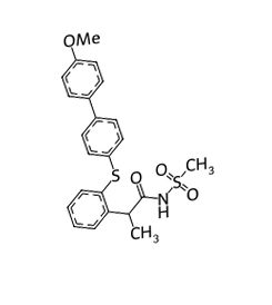 COc1ccc(-c2ccc(Sc3ccccc3C(C)C(=O)NS(C)(=O)=O)cc2)cc1